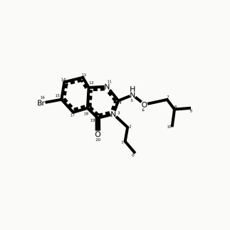 CCCn1c(NOCC(C)C)nc2ccc(Br)cc2c1=O